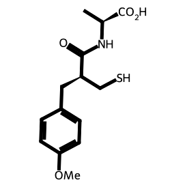 COc1ccc(C[C@H](CS)C(=O)N[C@@H](C)C(=O)O)cc1